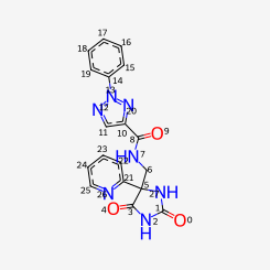 O=C1NC(=O)C(CNC(=O)c2cnn(-c3ccccc3)n2)(c2ccccn2)N1